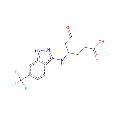 O=CCC(CCC(=O)O)Nc1n[nH]c2cc(C(F)(F)F)ccc12